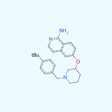 CC(C)(C)c1ccc(CN2CCCC(Oc3ccc4c(N)nccc4c3)C2)cc1